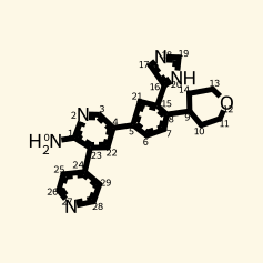 Nc1ncc(-c2ccc(C3CCOCC3)c(-c3cnc[nH]3)c2)cc1-c1ccncc1